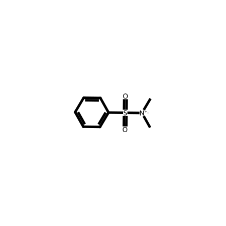 C[N+](C)S(=O)(=O)c1ccccc1